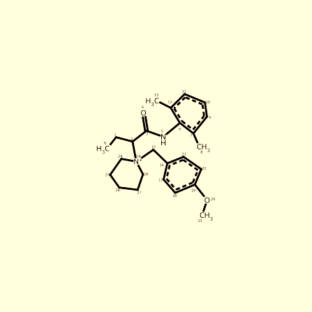 CCC(C(=O)Nc1c(C)cccc1C)[N+]1(Cc2ccc(OC)cc2)CCCCC1